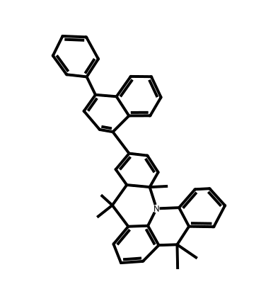 CC1(C)c2ccccc2N2c3c1cccc3C(C)(C)C1C=C(c3ccc(-c4ccccc4)c4ccccc34)C=CC12C